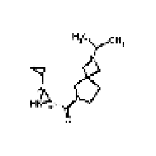 CC(C)N1CC2(CCN(C(=O)[C@@H]3N[C@H]3C3CC3)C2)C1